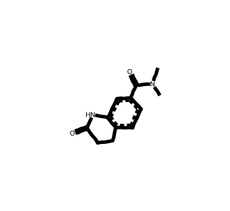 CN(C)C(=O)c1ccc2c(c1)NC(=O)CC2